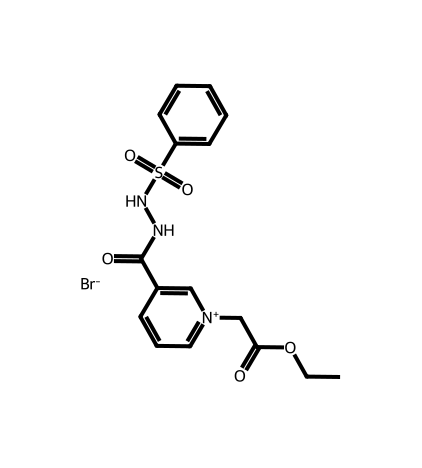 CCOC(=O)C[n+]1cccc(C(=O)NNS(=O)(=O)c2ccccc2)c1.[Br-]